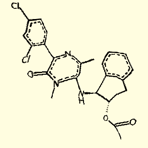 CC(=O)O[C@H]1Cc2ccccc2[C@@H]1Nc1c(C)nc(-c2ccc(Cl)cc2Cl)c(=O)n1C